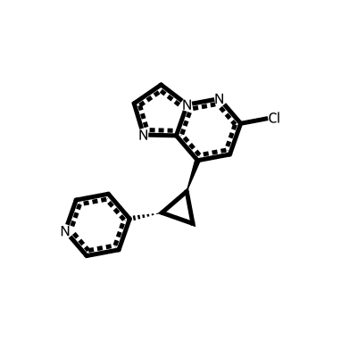 Clc1cc([C@H]2C[C@@H]2c2ccncc2)c2nccn2n1